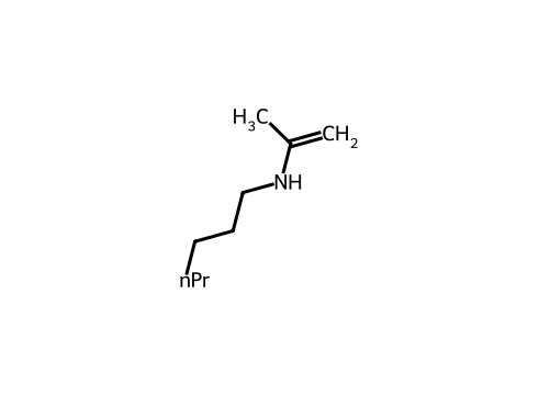 C=C(C)NCCCCCC